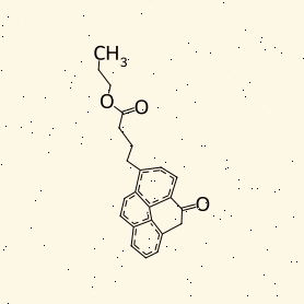 CCCOC(=O)CCCc1ccc2c3c1ccc1cccc(c13)CC2=O